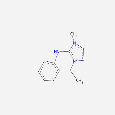 CC[n+]1ccn(C)c1Nc1ccccc1